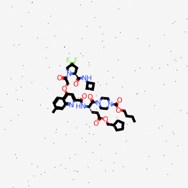 CCCCOC(=O)N1CCN(C(=O)[C@H](CCC(=O)OCC2CCCC2)NC(=O)c2cc(OCC(=O)N3CC(F)(F)C[C@H]3C(=O)NC3CCC3)c3ccc(C)cc3n2)CC1